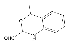 CC1OC(C=O)Nc2ccccc21